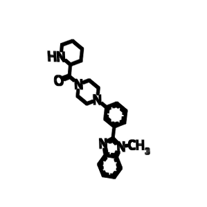 Cn1c(-c2cccc(N3CCN(C(=O)C4CCCCN4)CC3)c2)nc2ccccc21